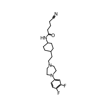 N#CCCCC(=O)NC1CCC(CCN2CCN(c3ccc(F)c(F)c3)CC2)CC1